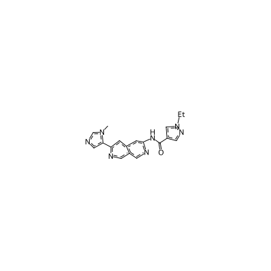 CCn1cc(C(=O)Nc2cc3cc(-c4cncn4C)ncc3cn2)cn1